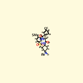 CSc1ccc(S(=O)(=O)CC2CC(N(C)C(C)C)CCC2NC(=O)C(C)NC(=O)c2cccc(C(F)(F)F)c2)cc1